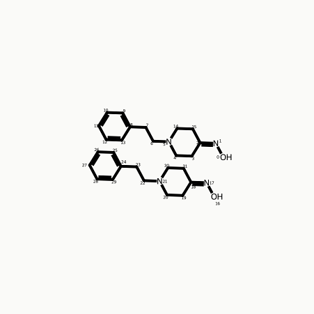 ON=C1CCN(CCc2ccccc2)CC1.ON=C1CCN(CCc2ccccc2)CC1